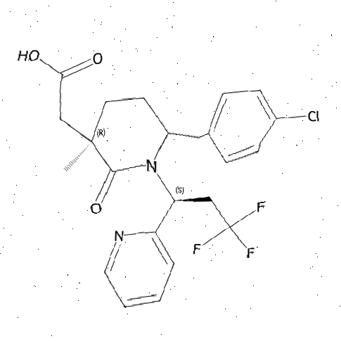 C[C@]1(CC(=O)O)CCC(c2ccc(Cl)cc2)N([C@@H](CC(F)(F)F)c2ccccn2)C1=O